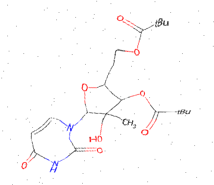 CC(C)(C)C(=O)OCC1OC(n2ccc(=O)[nH]c2=O)C(C)(O)C1OC(=O)C(C)(C)C